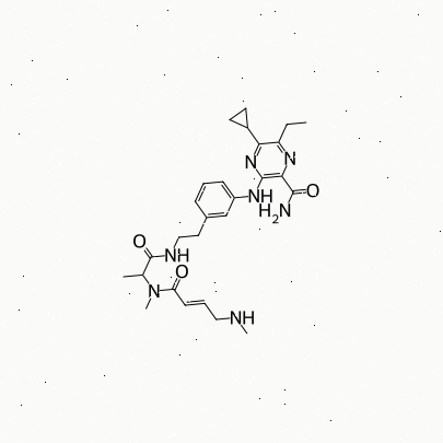 CCc1nc(C(N)=O)c(Nc2cccc(CCNC(=O)C(C)N(C)C(=O)C=CCNC)c2)nc1C1CC1